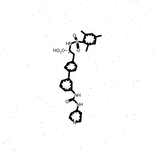 Cc1cc(C)c(S(=O)(=O)N[C@H](Cc2ccc(-c3cccc(NC(=O)Nc4ccncc4)c3)cc2)C(=O)O)c(C)c1